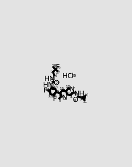 Cc1nc2cc(NC(=O)C3CC3)ncc2cc1-c1cc(NC(=O)NCCC(C)(C)F)c(F)cc1F.Cl